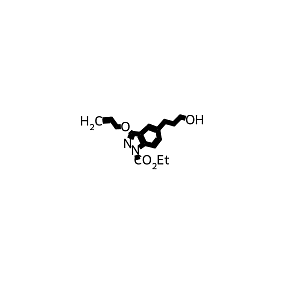 C=CCOc1nn(C(=O)OCC)c2ccc(CCCO)cc12